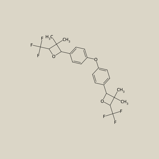 CC1(C)C(c2ccc(Oc3ccc(C4OC(C(F)(F)F)C4(C)C)cc3)cc2)OC1C(F)(F)F